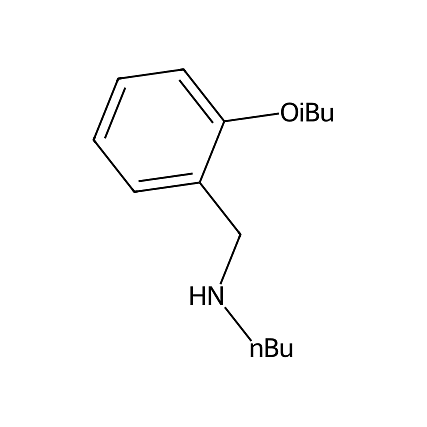 CCCCNCc1ccccc1OCC(C)C